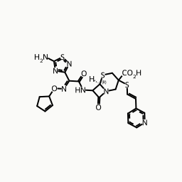 Nc1nc(C(=NOC2C=CCC2)C(=O)NC2C(=O)N3CC(SC=Cc4cccnc4)(C(=O)O)CS[C@H]23)ns1